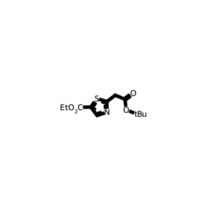 CCOC(=O)c1cnc(CC(=O)OC(C)(C)C)s1